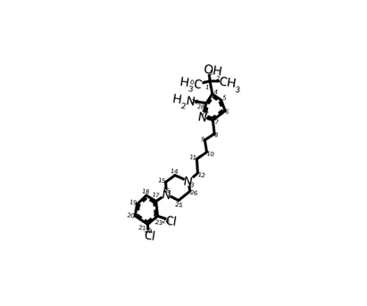 CC(C)(O)c1ccc(CCCCCN2CCN(c3cccc(Cl)c3Cl)CC2)nc1N